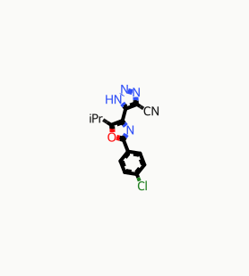 CC(C)c1oc(-c2ccc(Cl)cc2)nc1-c1[nH]nnc1C#N